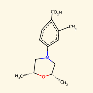 Cc1cc(N2C[C@@H](C)O[C@@H](C)C2)ccc1C(=O)O